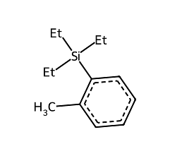 CC[Si](CC)(CC)c1ccccc1C